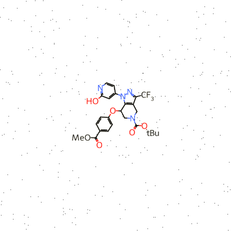 COC(=O)c1ccc(OC2CN(C(=O)OC(C)(C)C)Cc3c(C(F)(F)F)nn(-c4ccnc(O)c4)c32)cc1